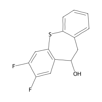 OC1Cc2ccccc2Sc2cc(F)c(F)cc21